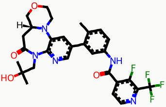 Cc1ccc(NC(=O)c2ccnc(C(F)(F)F)c2F)cc1-c1cnc2c(c1)N1CCOC[C@H]1CC(=O)N2CC(C)(C)O